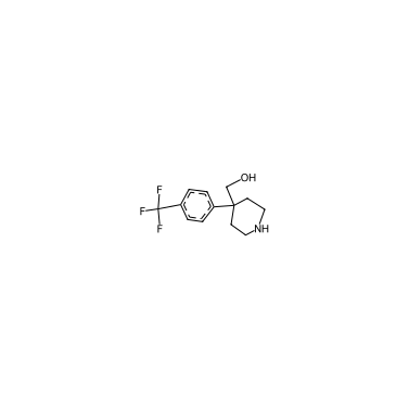 OCC1(c2ccc(C(F)(F)F)cc2)CCNCC1